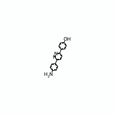 Nc1ccc(-c2ccc(-c3ccc(O)cc3)nn2)cc1